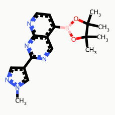 Cn1cc(-c2ncc3c(B4OC(C)(C)C(C)(C)O4)ccnc3n2)cn1